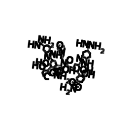 N=C(N)c1ccc2[nH]c(-c3cc(CC(=O)N(CCN4CCOCC4)C(C(=O)O)c4cc(-c5nc6cc(C(=N)N)ccc6[nH]5)c(O)c(-c5ccccc5O)c4S(N)(=O)=O)cc(-c4cc(S(N)(=O)=O)ccc4O)c3O)nc2c1